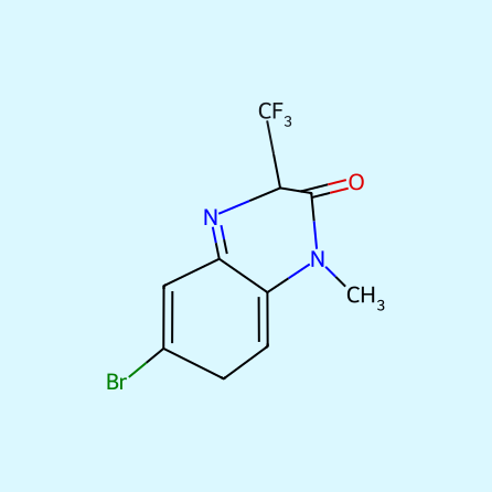 CN1C(=O)C(C(F)(F)F)N=C2C=C(Br)CC=C21